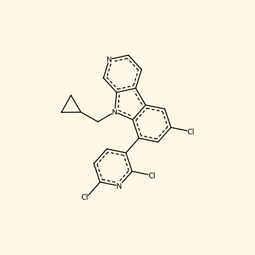 Clc1cc(-c2ccc(Cl)nc2Cl)c2c(c1)c1ccncc1n2CC1CC1